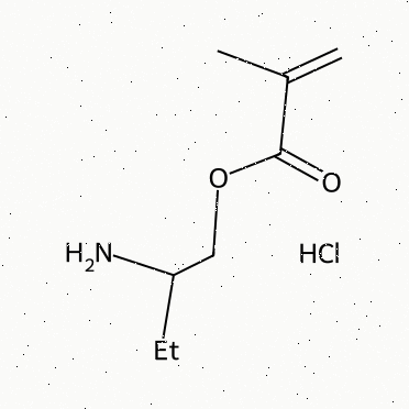 C=C(C)C(=O)OCC(N)CC.Cl